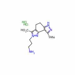 CSc1n[nH]c2c1-c1nn(CCCN)c(C(=O)O)c1CC2.Cl.Cl